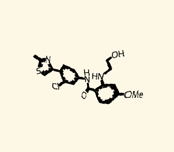 COc1ccc(C(=O)Nc2ccc(-c3csc(C)n3)c(Cl)c2)c(NCCO)c1